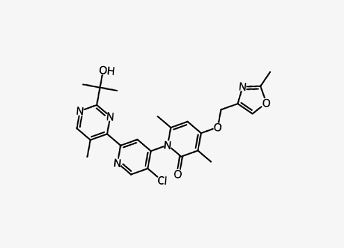 Cc1nc(COc2cc(C)n(-c3cc(-c4nc(C(C)(C)O)ncc4C)ncc3Cl)c(=O)c2C)co1